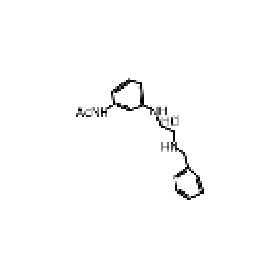 CC(=O)Nc1cccc(NCCNCc2ccccc2)c1.Cl